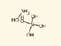 NO.O[Si](O)(O)O